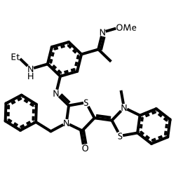 CCNc1ccc(C(C)=NOC)cc1N=C1SC(=C2Sc3ccccc3N2C)C(=O)N1Cc1ccccc1